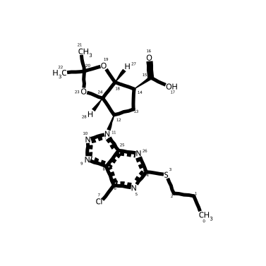 CCCSc1nc(Cl)c2nnn([C@@H]3C[C@H](C(=O)O)[C@H]4OC(C)(C)O[C@H]43)c2n1